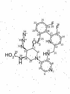 C[C@H]1CN(c2ccncc2NCc2ccc(F)c(-c3c(F)cccc3F)n2)C[C@@H](NC(=O)O)[C@H]1N=[N+]=[N-]